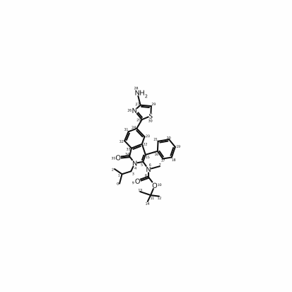 CC(C)Cn1c(N(C)C(=O)OC(C)(C)C)c(-c2ccccc2)c2cc(-c3nc(N)cs3)ccc2c1=O